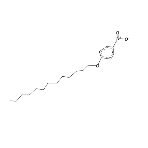 CCCCCCCCCCCCCOc1ccc([N+](=O)[O-])cc1